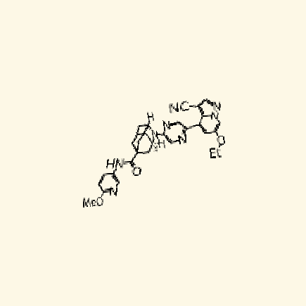 CCOc1cc(-c2cnc(N3[C@@H]4CC5C[C@H]3CC(C(=O)Nc3ccc(OC)nc3)(C5)C4)cn2)c2c(C#N)cnn2c1